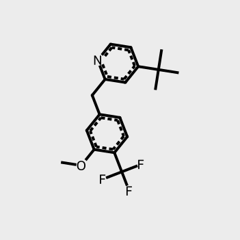 COc1cc(Cc2cc(C(C)(C)C)ccn2)ccc1C(F)(F)F